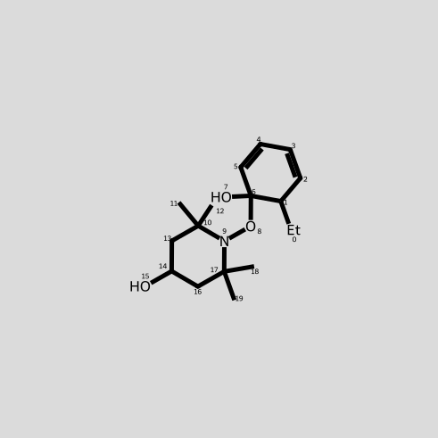 CCC1C=CC=CC1(O)ON1C(C)(C)CC(O)CC1(C)C